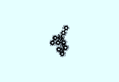 c1ccc(-c2ccc(-c3nc(-c4cccc(-c5ccccc5)c4)nc(-c4ccc5c(oc6c(-n7c8ccccc8c8ccccc87)cccc65)c4-c4ccccc4)n3)cc2)cc1